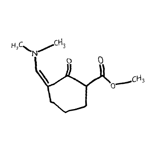 COC(=O)C1CCC/C(=C/N(C)C)C1=O